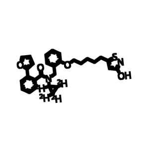 [2H]C1C([2H])([2H])C1([2H])N(Cc1ccccc1OCCCCCc1cc(O)ns1)C(=O)c1ccccc1-c1ccco1